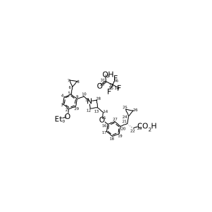 CCOc1ccc(C2CC2)c(CN2CC(COc3cccc([C@@H](CC(=O)O)C4CC4)c3)C2)c1.O=C(O)C(F)(F)F